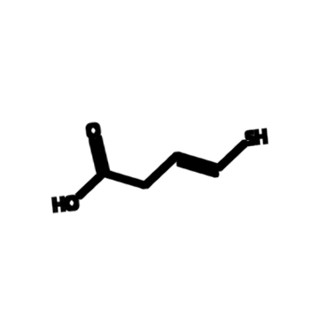 O=C(O)CC=CS